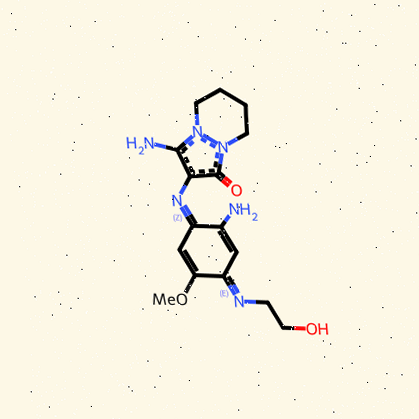 COC1=CC(=N/c2c(N)n3n(c2=O)CCCC3)/C(N)=CC/1=N\CCO